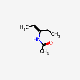 CC=C(CC)NC(C)=O